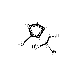 CC(C)[C@H](N)C(=O)O.Oc1ccco1